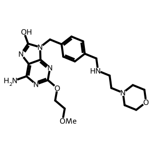 COCCOc1nc(N)c2nc(O)n(Cc3ccc(CNCCN4CCOCC4)cc3)c2n1